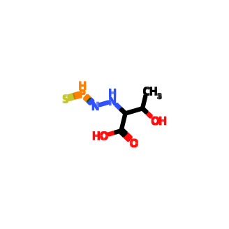 CC(O)C(NN=[PH]=S)C(=O)O